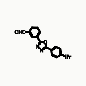 CC(C)c1ccc(-c2nnc(-c3cccc(C=O)c3)o2)cc1